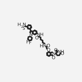 NC(=S)c1cccc(-c2cn(C3CCC(F)(F)CC3)c3cc(NC(=O)CCCCCNC(=O)COc4cccc5c4CN(C4CCC(=O)NC4=O)C5=O)ccc23)c1